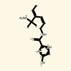 C/C=C(\C=C/CNC(=O)c1nc(C#N)c[nH]1)C(C)(C)NC(C)=O